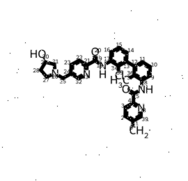 [CH2]c1ccc(C(=O)Nc2cccc(-c3cccc(NC(=O)c4ccc(CN5CC[C@H](O)C5)cn4)c3Cl)c2C)nc1